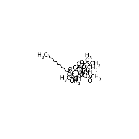 CCCCCCCCCCCC(=O)O[C@@]12CC(C)C34C=C(C)[C@H](OC(=O)C(C)C(C)C)[C@@]3(O)[C@H](O)C(COC(C)=O)=C[C@H](C4=O)[C@@H]1C2(C)C